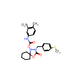 Cc1ccc(NC(=O)ON2N(Cc3ccc(SC(F)(F)F)cc3)C(=O)OC23CCCCC3)cc1[N+](=O)[O-]